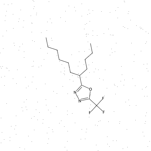 CCCCCCC(CCCC)c1nnc(C(F)(F)F)o1